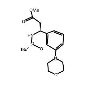 COC(=O)C[C@H](N[S@+]([O-])C(C)(C)C)c1cccc(N2CCOCC2)c1